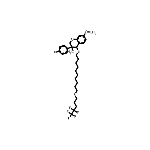 COc1ccc2c(c1)OCC(C)(c1ccc(F)cc1)C2SCCCCCCCCCCSCCCC(F)(F)C(F)(F)F